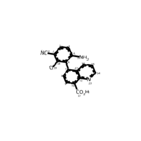 N#Cc1ccc(N)c(-c2ccc(C(=O)O)c3ncccc23)c1Cl